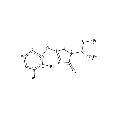 CCOC(=O)C(CC(C)C)N1CC(Oc2cccc(C)c2F)=CC1=O